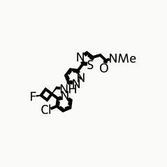 CNC(=O)Cc1cnc(-c2ccc(NC[C@]3(c4ncccc4Cl)C[C@H](F)C3)nn2)s1